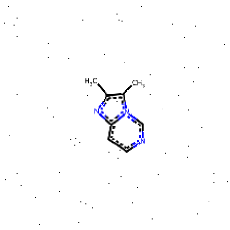 Cc1nc2ccncn2c1C